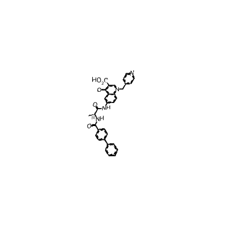 C[C@H](NC(=O)c1ccc(-c2ccccc2)cc1)C(=O)Nc1ccc2c(c1)c(=O)c(C(=O)O)cn2Cc1ccncc1